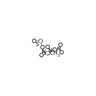 CC1(N(c2ccccc2)c2ccc(N(c3ccccc3)c3ccccc3)cc2)C=Cc2c(n(-c3ccc(C4C=CC=C5c6ccccc6SC54)cc3)c3ccccc23)C1